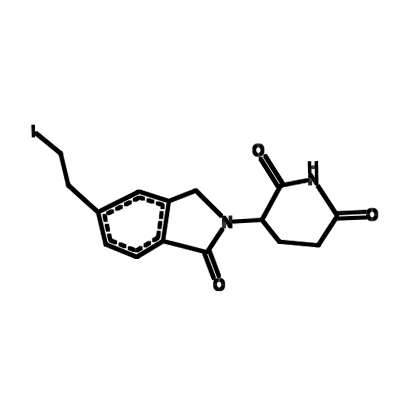 O=C1CCC(N2Cc3cc(CCI)ccc3C2=O)C(=O)N1